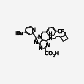 CC[C@@H](C)c1ccnc(-c2nc3nc(C(=O)O)nc(NCCC4CCC4)c3n2Cc2ccc(C(F)(F)F)cc2)c1